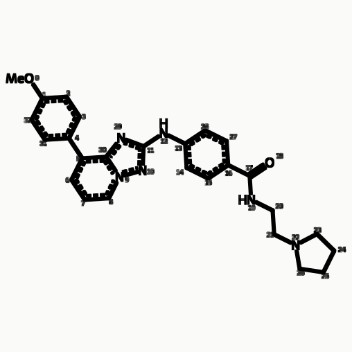 COc1ccc(-c2cccn3nc(Nc4ccc(C(=O)NCCN5CCCC5)cc4)nc23)cc1